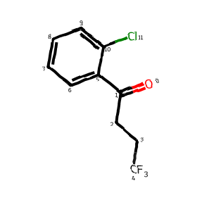 O=C(CCC(F)(F)F)c1ccccc1Cl